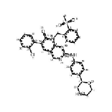 CS(=O)(=O)c1ccccc1Cn1c(=O)c(-c2ccccc2Cl)cc2cnc(Nc3ccc(C4CNCCO4)cc3)nc21